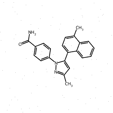 Cc1cc(-c2ccc(C)c3ccccc23)n(-c2ccc(C(N)=O)cc2)n1